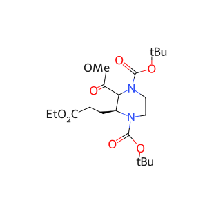 CCOC(=O)CC[C@H]1C(C(=O)OC)N(C(=O)OC(C)(C)C)CCN1C(=O)OC(C)(C)C